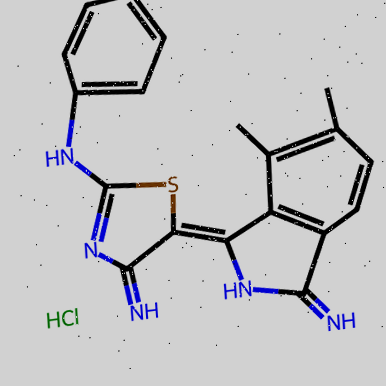 Cc1ccc2c(c1C)/C(=C1\SC(Nc3ccccc3)=NC1=N)NC2=N.Cl